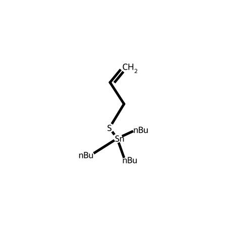 C=CC[S][Sn]([CH2]CCC)([CH2]CCC)[CH2]CCC